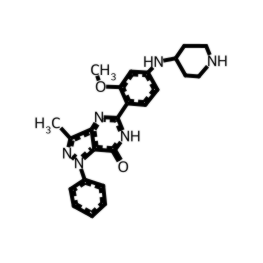 COc1cc(NC2CCNCC2)ccc1-c1nc2c(C)nn(-c3ccccc3)c2c(=O)[nH]1